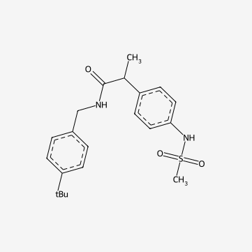 CC(C(=O)NCc1ccc(C(C)(C)C)cc1)c1ccc(NS(C)(=O)=O)cc1